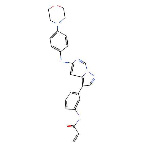 C=CC(=O)Nc1cccc(-c2cnn3cnc(Nc4ccc(N5CCOCC5)cc4)cc23)c1